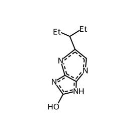 CCC(CC)c1cnc2[nH]c(O)nc2n1